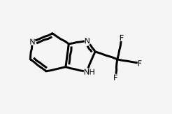 FC(F)(F)c1nc2cnccc2[nH]1